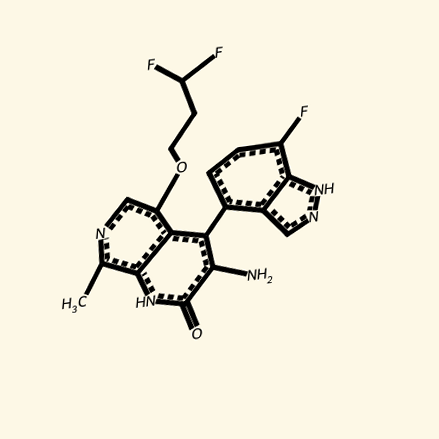 Cc1ncc(OCCC(F)F)c2c(-c3ccc(F)c4[nH]ncc34)c(N)c(=O)[nH]c12